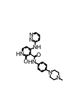 CN1CCN(c2ccc(NC(=O)c3c(Nc4cccnn4)cc[nH]c3=O)cc2)CC1